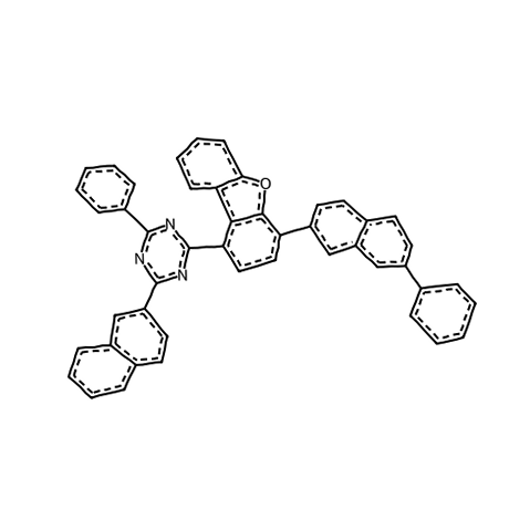 c1ccc(-c2ccc3ccc(-c4ccc(-c5nc(-c6ccccc6)nc(-c6ccc7ccccc7c6)n5)c5c4oc4ccccc45)cc3c2)cc1